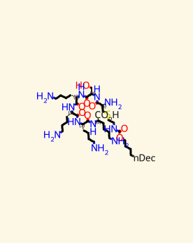 CCCCCCCCCCCCCCOC(=O)NCCSC[C@@H](N)C(=O)N[C@H](CO)C(=O)N[C@@H](CCCCN)C(=O)N[C@@H](CCCCN)C(=O)N[C@@H](CCCCN)C(=O)N[C@@H](CCCCN)C(=O)O